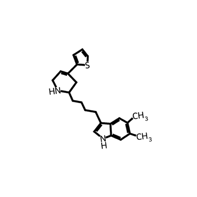 Cc1cc2[nH]cc(CCCCC3CC(c4cccs4)=CCN3)c2cc1C